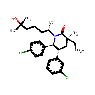 CC[C@@H](CCCC(C)(C)O)N1C(=O)[C@@](C)(CC(=O)O)C[C@H](c2cccc(Cl)c2)[C@H]1c1ccc(Cl)cc1